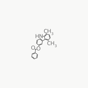 Cc1ccc(C)c2c1[nH]c1ccc(OC(=O)c3ccccc3)cc12